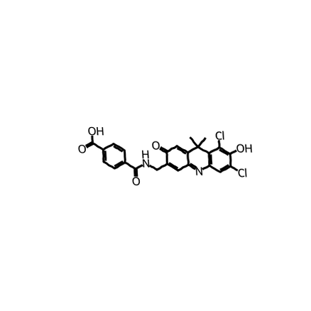 CC1(C)C2=CC(=O)C(CNC(=O)c3ccc(C(=O)O)cc3)=CC2=Nc2cc(Cl)c(O)c(Cl)c21